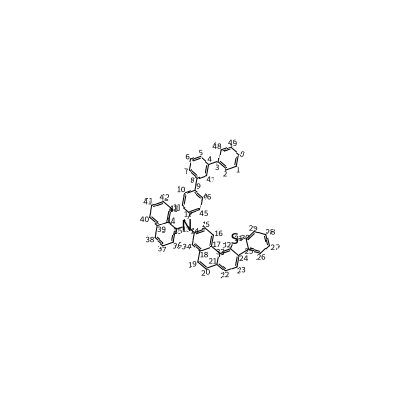 c1ccc(-c2cccc(-c3ccc(N(c4ccc5c(ccc6ccc7c8ccccc8sc7c65)c4)c4cccc5ccccc45)cc3)c2)cc1